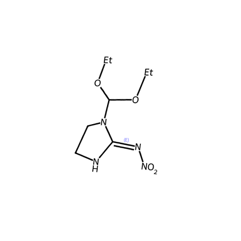 CCOC(OCC)N1CCN/C1=N\[N+](=O)[O-]